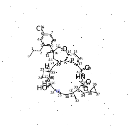 CCCc1cc(Cl)ccc1[C@]1(C)COc2ccc3cc2N(C[C@@H]2CC[C@H]2[C@H](O)/C=C\C[C@H](C)[C@H](CC2CC2)S(=O)(=O)NC3=O)C1